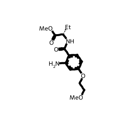 CC[C@H](NC(=O)c1ccc(OCCOC)cc1N)C(=O)OC